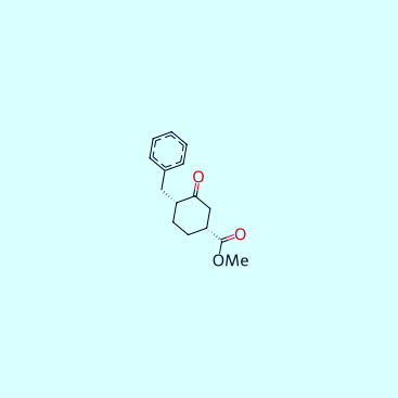 COC(=O)[C@@H]1CC[C@H](Cc2ccccc2)C(=O)C1